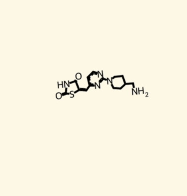 NCC1CCN(c2nccc(/C=C3/SC(=O)NC3=O)n2)CC1